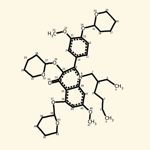 CCCCC(CC)Cn1c(-c2ccc(OC3CCCCO3)c(OC)c2)c(OC2CCCCO2)c(=O)c2c(OC3CCCCO3)cc(OC)cc21